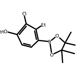 CCc1c(B2OC(C)(C)C(C)(C)O2)ccc(O)c1Cl